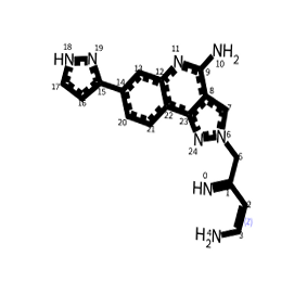 N=C(/C=C\N)Cn1cc2c(N)nc3cc(-c4cc[nH]n4)ccc3c2n1